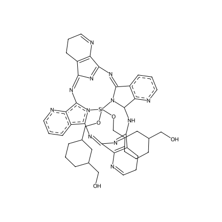 OCC1CCCC(CO[Si]2(OCC3CCCC(CO)C3)N3/C4=N\C5=NC(=N\c6c7ncccc7c(n62)/N=C2\N=C(NC3c3ncccc34)C3=C2N=CCC3)/C2=C5N=CCC2)C1